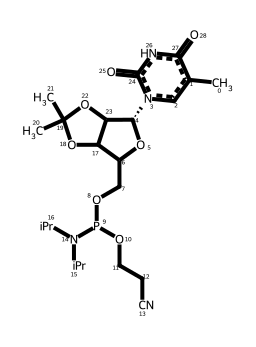 Cc1cn([C@@H]2OC(COP(OCCC#N)N(C(C)C)C(C)C)C3OC(C)(C)OC32)c(=O)[nH]c1=O